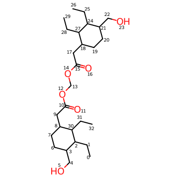 CCC1C(CO)CCC(CC(=O)OCOC(=O)CC2CCC(CO)C(CC)C2CC)C1CC